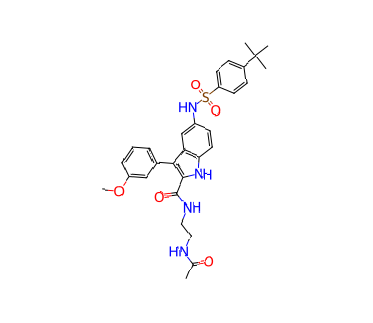 COc1cccc(-c2c(C(=O)NCCNC(C)=O)[nH]c3ccc(NS(=O)(=O)c4ccc(C(C)(C)C)cc4)cc23)c1